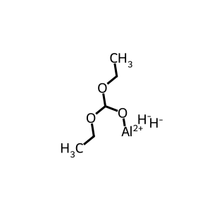 CCOC([O][Al+2])OCC.[H-].[H-]